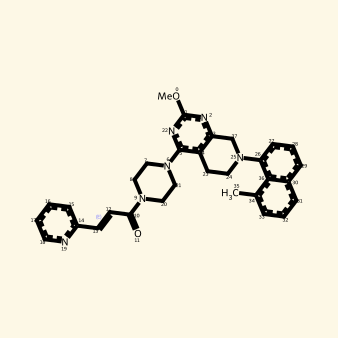 COc1nc2c(c(N3CCN(C(=O)/C=C/c4ccccn4)CC3)n1)CCN(c1cccc3cccc(C)c13)C2